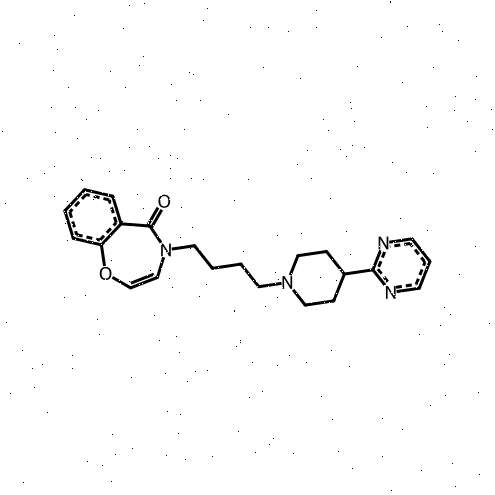 O=C1c2ccccc2OC=CN1CCCCN1CCC(c2ncccn2)CC1